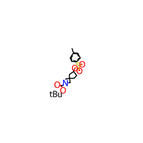 Cc1ccc(S(=O)(=O)OC2CCC3(C2)CN(C(=O)OC(C)(C)C)C3)cc1